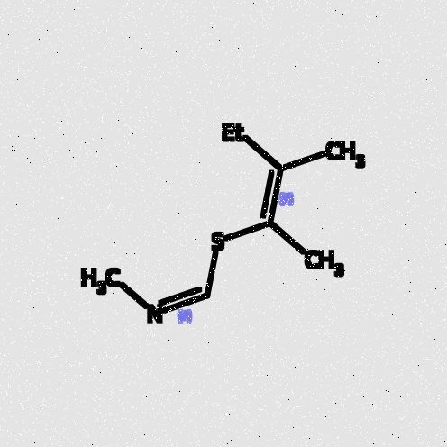 CC/C(C)=C(/C)S/C=N\C